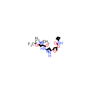 C[C@@H](Oc1cc(C(=O)Nc2cc([C@H]3C[C@@H](OC(=O)NC45CC(C4)C5)CO3)[nH]n2)n(C)n1)C(F)(F)F